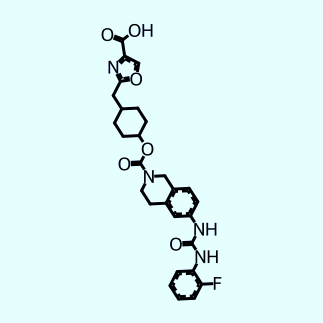 O=C(Nc1ccc2c(c1)CCN(C(=O)OC1CCC(Cc3nc(C(=O)O)co3)CC1)C2)Nc1ccccc1F